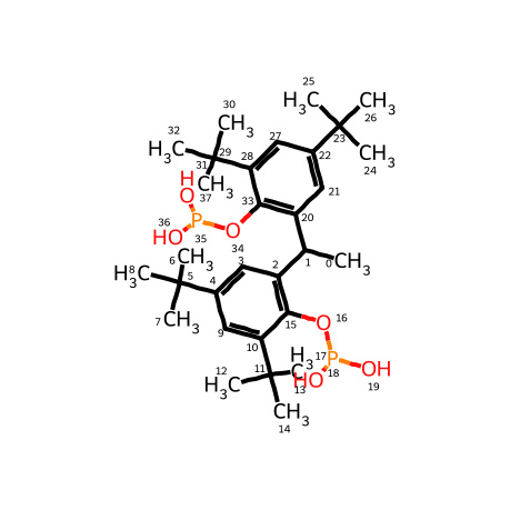 CC(c1cc(C(C)(C)C)cc(C(C)(C)C)c1OP(O)O)c1cc(C(C)(C)C)cc(C(C)(C)C)c1OP(O)O